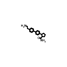 NCCc1ccc(-c2ccc(C3CCCC3C(N)=O)cc2)cc1